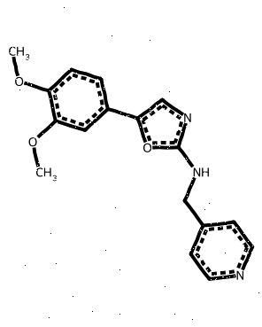 COc1ccc(-c2cnc(NCc3ccncc3)o2)cc1OC